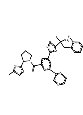 Cc1csc(C2CCCN2C(=O)c2cc(-c3cnccn3)cc(-c3nnc(C(C)(N)Cc4ccccc4F)o3)c2)n1